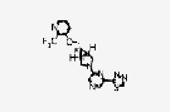 FC(F)(F)c1ncccc1OC[C@@H]1[C@H]2CN(c3cncc(-c4nncs4)n3)C[C@@H]12